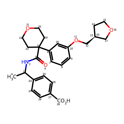 CC(NC(=O)C1(c2cccc(OC[C@H]3CCOC3)c2)CCOCC1)c1ccc(C(=O)O)cc1